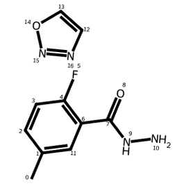 Cc1ccc(F)c(C(=O)NN)c1.c1conn1